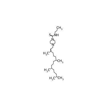 CCCNC(=S)N1CCN(CC=C(C)CCCC(C)CCCC(C)CCCC(C)C)CC1